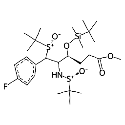 COC(=O)CC[C@H](O[Si](C)(C)C(C)(C)C)C(N[S@@+]([O-])C(C)(C)C)C(c1ccc(F)cc1)[S@@+]([O-])C(C)(C)C